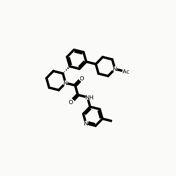 CC(=O)N1CCC(c2cccc([C@H]3CCCCN3C(=O)C(=O)Nc3cncc(C)c3)c2)CC1